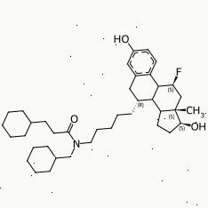 C[C@]12C[C@H](F)C3c4ccc(O)cc4C[C@@H](CCCCCN(CC4CCCCC4)C(=O)CCC4CCCCC4)C3C1CC[C@@H]2O